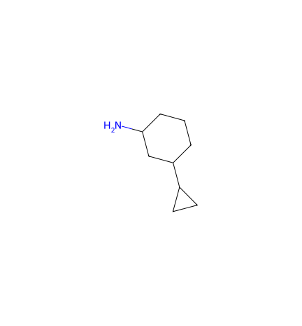 NC1CCCC(C2CC2)C1